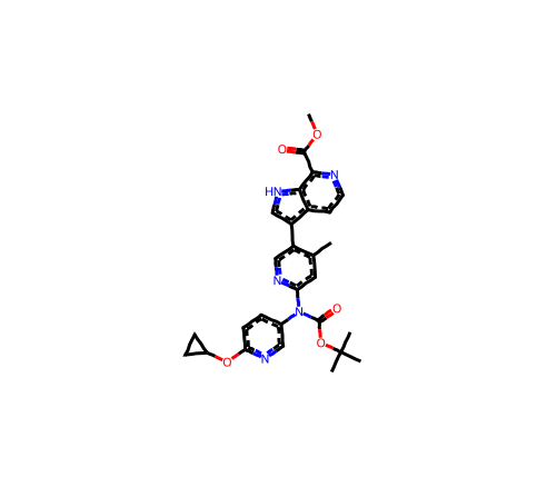 COC(=O)c1nccc2c(-c3cnc(N(C(=O)OC(C)(C)C)c4ccc(OC5CC5)nc4)cc3C)c[nH]c12